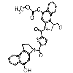 COC(=O)Oc1cc2c(c3ccccc13)C(CCl)CN2C(=O)c1ccc(C(=O)N2CCc3c2cc(O)c2ccccc32)s1